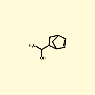 CC(O)C1CC2C=CC1C2